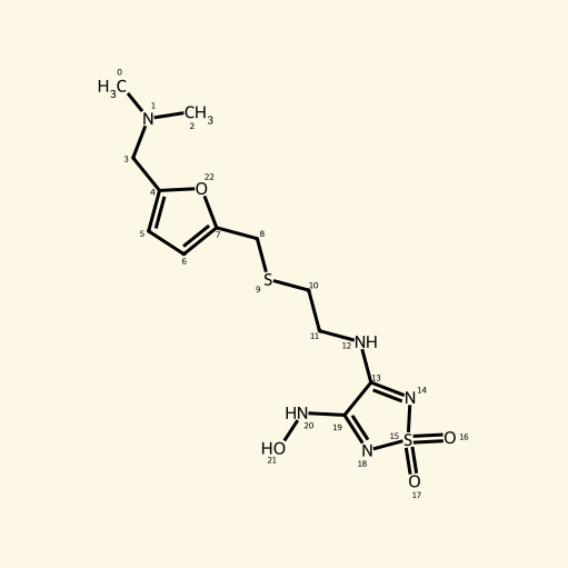 CN(C)Cc1ccc(CSCCNC2=NS(=O)(=O)N=C2NO)o1